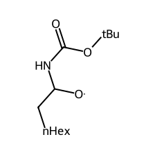 CCCCCCCC([O])NC(=O)OC(C)(C)C